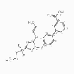 CC=CCc1nc(C(F)(F)CCC)nn1Cc1ccc(-c2cccc(C(=O)O)c2)cc1